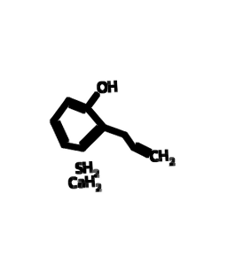 C=CCc1ccccc1O.S.[CaH2]